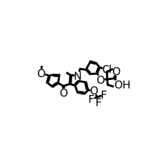 CCC(CC)(Oc1cc(Cn2c(C)c(C(=O)c3ccc(OC)cc3)c3ccc(OC(F)(F)F)cc32)ccc1Cl)C(=O)O